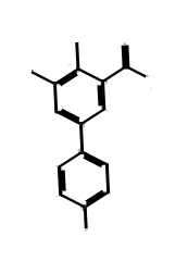 CCC(=O)c1cc(-c2ccc(CC)cc2)cc(C)c1C